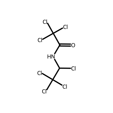 O=C(NC(Cl)C(Cl)(Cl)Cl)C(Cl)(Cl)Cl